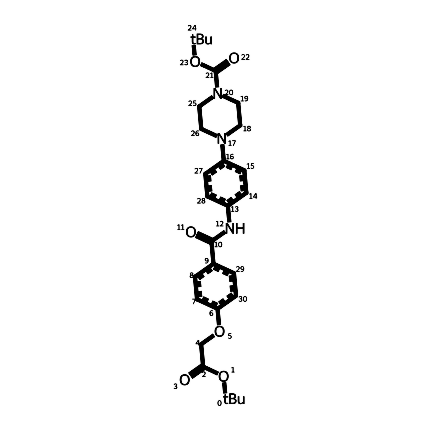 CC(C)(C)OC(=O)COc1ccc(C(=O)Nc2ccc(N3CCN(C(=O)OC(C)(C)C)CC3)cc2)cc1